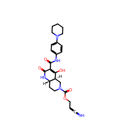 N=C=CCOC(=O)N1CC[C@@H]2NC(=O)C(C(=O)Nc3ccc(N4CCCCC4)cc3)=C(O)[C@H]2C1